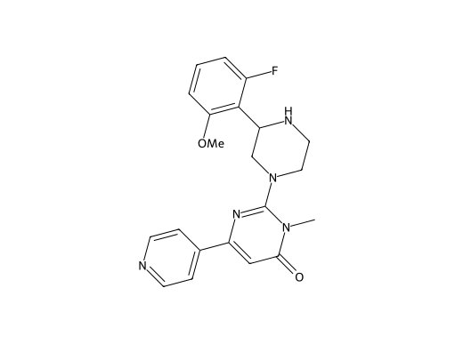 COc1cccc(F)c1C1CN(c2nc(-c3ccncc3)cc(=O)n2C)CCN1